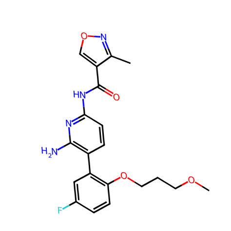 COCCCOc1ccc(F)cc1-c1ccc(NC(=O)c2conc2C)nc1N